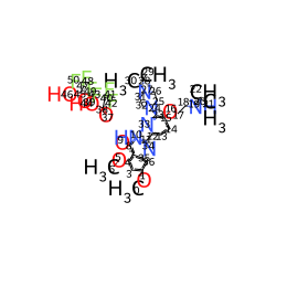 COc1cc(OC)c2c(=O)[nH]c(-c3ccc(OCCNC(C)C)c(N4CCN(C(C)C)CC4)n3)nc2c1.O=C(O)C(F)(F)F.O=C(O)C(F)(F)F